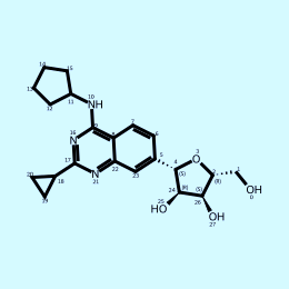 OC[C@H]1O[C@@H](c2ccc3c(NC4CCCC4)nc(C4CC4)nc3c2)[C@H](O)[C@@H]1O